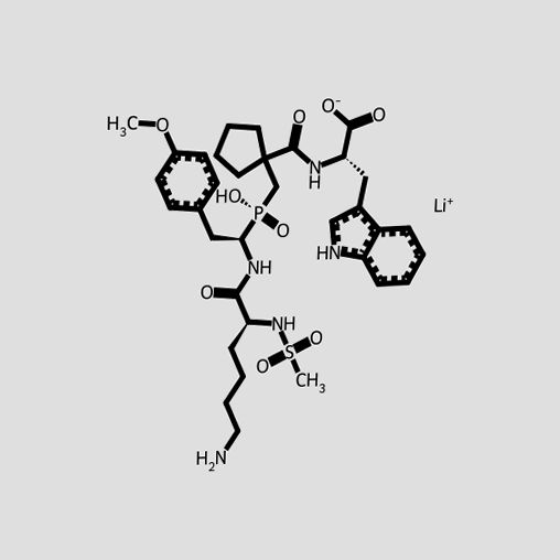 COc1ccc(C[C@H](NC(=O)[C@H](CCCCN)NS(C)(=O)=O)[P@@](=O)(O)CC2(C(=O)N[C@@H](Cc3c[nH]c4ccccc34)C(=O)[O-])CCCC2)cc1.[Li+]